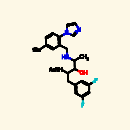 CC(=O)NC(Cc1cc(F)cc(F)c1)C(O)C(C)NCc1cc(C(C)(C)C)ccc1-n1ccnc1